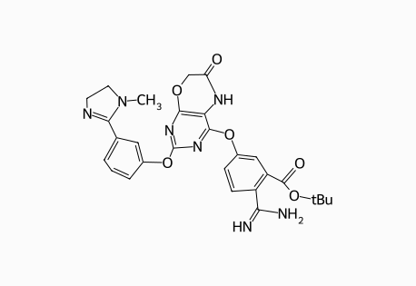 CN1CCN=C1c1cccc(Oc2nc3c(c(Oc4ccc(C(=N)N)c(C(=O)OC(C)(C)C)c4)n2)NC(=O)CO3)c1